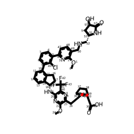 COc1nc(-c2cccc(-c3cccc4c3CC[C@@H]4Nc3nc(OC)c(CN4CC(C(=O)O)C5CCC4CC5)nc3C(F)(F)F)c2Cl)ccc1CNC[C@@H]1CC(O)C(=O)N1